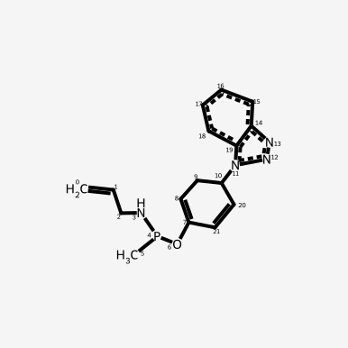 C=CCNP(C)OC1=CCC(n2nnc3ccccc32)C=C1